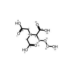 O=C(O)CN(CC(=O)O)C(SOOO)C(=O)O